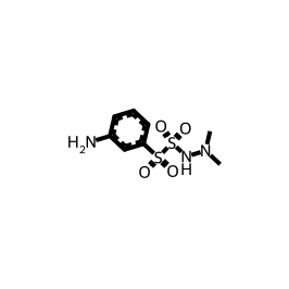 CN(C)NS(=O)(=O)S(=O)(=O)c1cccc(N)c1